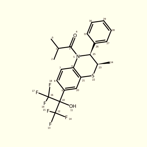 CC(C)C(=O)N1c2ccc(C(O)(C(F)(F)F)C(F)(F)F)cc2S[C@H](C)[C@@H]1c1ccccc1